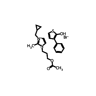 CC(=O)OCCCn1cc[n+](CC2CC2)c1C.Oc1sccc1-c1ccccc1.[Br-]